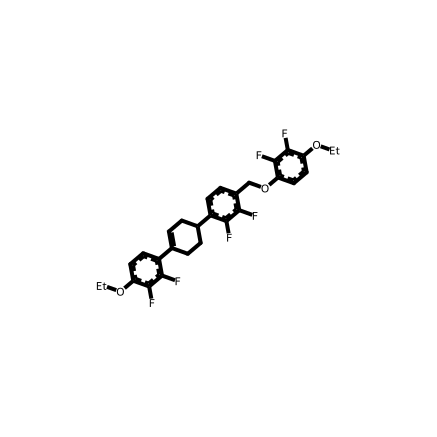 CCOc1ccc(OCc2ccc(C3CC=C(c4ccc(OCC)c(F)c4F)CC3)c(F)c2F)c(F)c1F